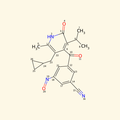 Cc1[nH]c(=O)c(C(C)C)c(C(=O)c2cc(C#N)cc(N=O)c2)c1CC1CC1